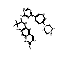 CC1(C)Oc2cc3oc(=O)ccc3cc2CC1Oc1cc(C2=CCC=C(N3CCOCC3)C=C2)ncn1